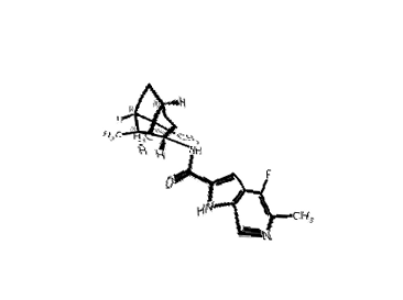 Cc1ncc2[nH]c(C(=O)N[C@H]3C[C@H]4C[C@@H]([C@@H]3C)C4(C)C)cc2c1F